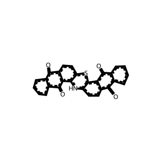 O=c1c2ccccc2c(=O)c2c1ccc1sc3c(ccc4c(=O)c5ccccc5c(=O)c43)[nH]c12